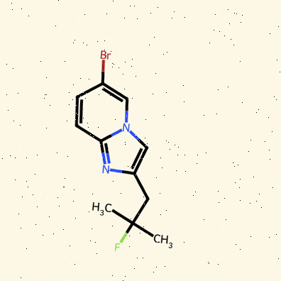 CC(C)(F)Cc1cn2cc(Br)ccc2n1